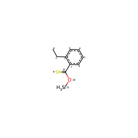 CCc1ccccc1C(=S)O[SiH3]